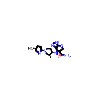 C[C@H]1CN(c2ccc(C#N)cn2)CC[C@H]1Nc1c(C(N)=O)cnc2[nH]cnc12